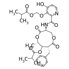 CC(C)C(=O)OCOc1c(O)ccnc1C(=O)N[C@H]1COC(=O)[C@H](Cc2ccccc2)C(OC(=O)C(C)C)[C@H](C)OC1=O